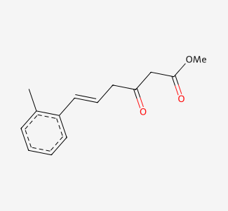 COC(=O)CC(=O)CC=Cc1ccccc1C